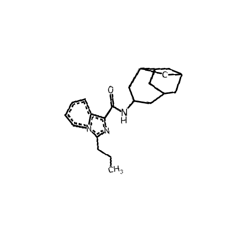 CCCc1nc(C(=O)NC2CC3CC4CC(C3)C(C4)C2)c2ccccn12